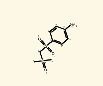 CP(C)(=O)CS(=O)(=O)c1ccc(N)cc1